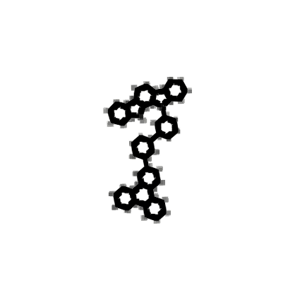 c1cc(-c2cccc(-n3c4ccccc4c4ccc5c6ccccc6sc5c43)c2)cc(-c2ccc3c4ccccc4c4ccccc4c3c2)c1